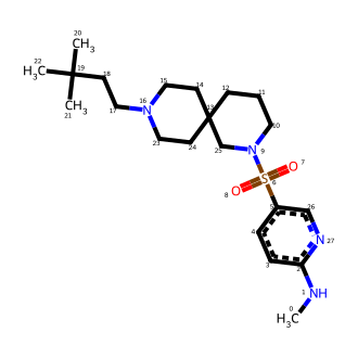 CNc1ccc(S(=O)(=O)N2CCCC3(CCN(CCC(C)(C)C)CC3)C2)cn1